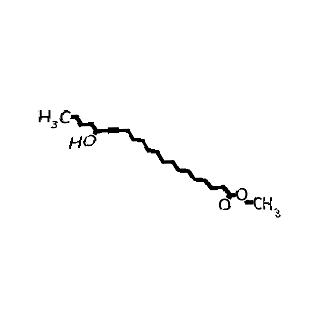 CCCCC(O)C#CCCCCCCCCCCCCCC(=O)OCC